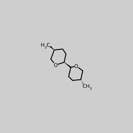 C[C@@H]1CCC([C@@H]2CC[C@H](C)CO2)OC1